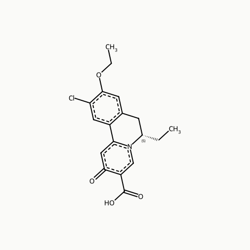 CCOc1cc2c(cc1Cl)-c1cc(=O)c(C(=O)O)cn1[C@@H](CC)C2